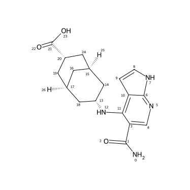 NC(=O)c1cnc2[nH]ccc2c1N[C@H]1C[C@H]2C[C@@H](C1)C[C@H](C(=O)O)C2